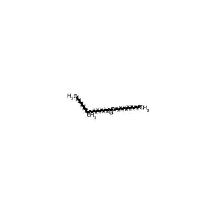 CCCCCCCCC=CCC(C)CCCCCCCCCCCC(=O)OCCCCCCCCCCCCCCC